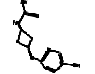 O=C(O)N[C@H]1C[C@@H](Oc2ccc(O)cn2)C1